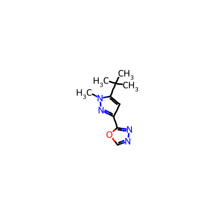 Cn1nc(-c2nnco2)cc1C(C)(C)C